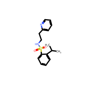 CC(C)c1ccccc1S(=O)(=O)NCCc1ccccn1